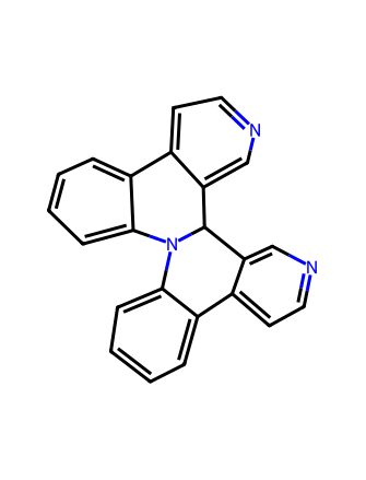 c1ccc2c(c1)-c1ccncc1C1c3cnccc3-c3ccccc3N21